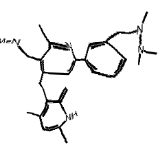 C=C1NC(C)=CC(C)=C1Cc1cc(-c2cccc(CN(C)N(C)C)c2)nc(C)c1CNC